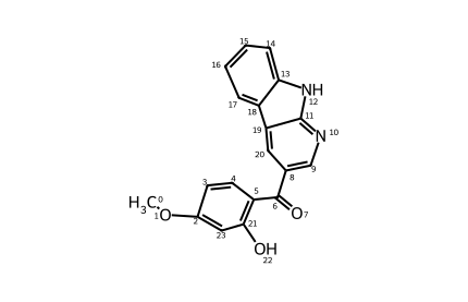 COc1ccc(C(=O)c2cnc3[nH]c4ccccc4c3c2)c(O)c1